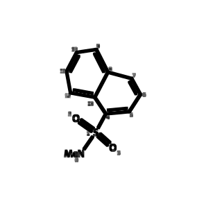 CNS(=O)(=O)c1cccc2ccccc12